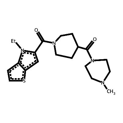 CCn1c(C(=O)N2CCC(C(=O)N3CCN(C)CC3)CC2)cc2sccc21